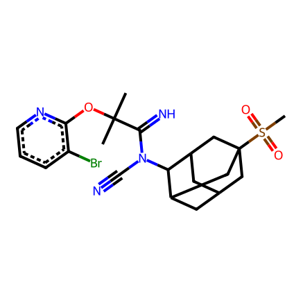 CC(C)(Oc1ncccc1Br)C(=N)N(C#N)C1C2CC3CC1CC(S(C)(=O)=O)(C3)C2